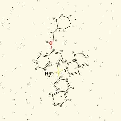 CS(c1ccc2ccccc2c1)(c1ccc2ccccc2c1)c1ccc(OCCC2CCCCC2)c2ccccc12